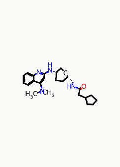 CN(C)c1cc(N[C@H]2CC[C@@H](CNC(=O)CC3CCCC3)CC2)nc2ccccc12